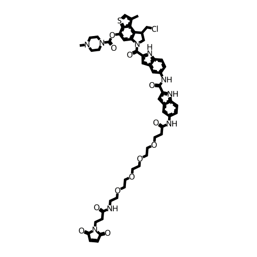 Cc1csc2c(OC(=O)N3CCN(C)CC3)cc3c(c12)C(CCl)CN3C(=O)c1cc2cc(NC(=O)c3cc4cc(NC(=O)CCOCCOCCOCCOCCNC(=O)CCN5C(=O)C=CC5=O)ccc4[nH]3)ccc2[nH]1